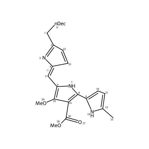 CCCCCCCCCCCC1=N/C(=C/c2[nH]c(-c3ccc(C)[nH]3)c(C(=O)OC)c2OC)C=C1